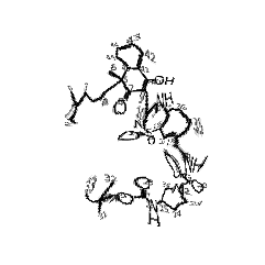 CC(C)CCC1(C)C(=O)C(C2=NS(=O)(=O)c3cc(NS(=O)(=O)N4CCC(NC(=O)OC(C)(C)C)C4)ccc3N2)=C(O)c2ccccc21